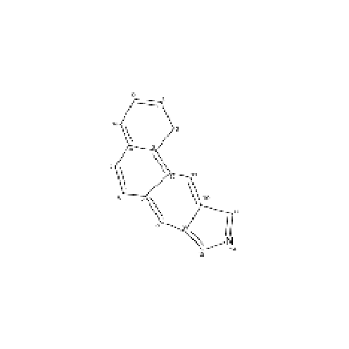 C1=CCc2c(ccc3cc4c(cc23)C=NC=4)=C1